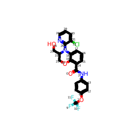 O=C(Nc1ccc(OC(F)(F)F)cc1)c1cccc2c1OCC(CO)N2c1ncccc1Cl